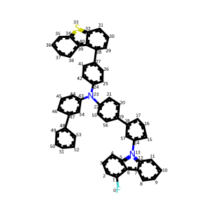 Fc1cccc2c1c1ccccc1n2-c1cccc(-c2ccc(N(c3ccc(-c4cccc5sc6ccccc6c45)cc3)c3cccc(-c4ccccc4)c3)cc2)c1